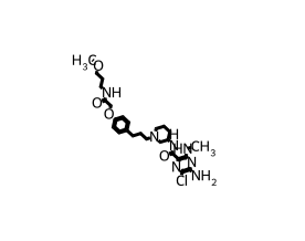 CNc1nc(N)c(Cl)nc1C(=O)NC1CCCN(CCCc2ccc(OCC(=O)NCCCOC)cc2)C1